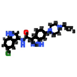 O=C(Nc1c[nH]c2ccc(Cl)cc12)c1n[nH]c2cc(N3CCN(CC(F)(F)F)CC3)ccc12